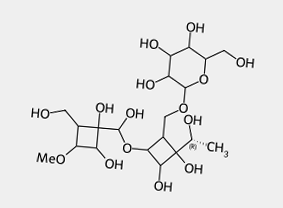 COC1C(O)C(O)(C(O)OC2C(O)C(O)([C@@H](C)O)C2COC2OC(CO)C(O)C(O)C2O)C1CO